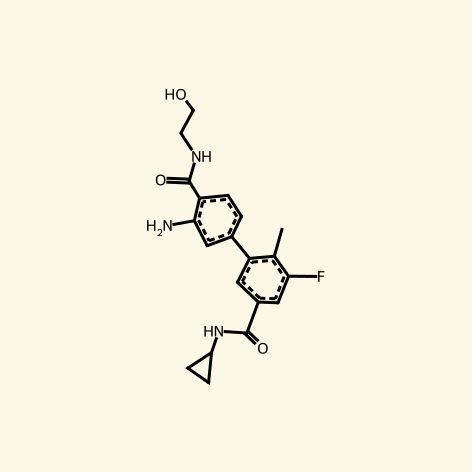 Cc1c(F)cc(C(=O)NC2CC2)cc1-c1ccc(C(=O)NCCO)c(N)c1